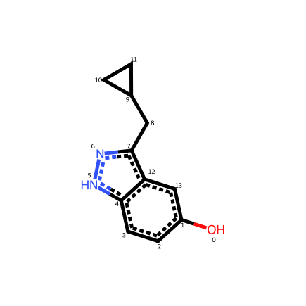 Oc1ccc2[nH]nc(CC3CC3)c2c1